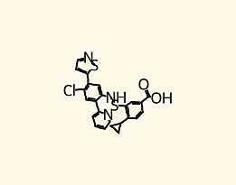 O=C(O)c1ccc(C2CC2)c(SNc2cc(-c3ccns3)c(Cl)cc2-c2ccccn2)c1